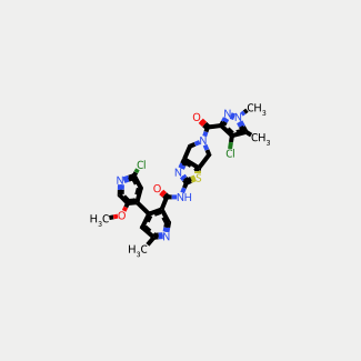 COc1cnc(Cl)cc1-c1cc(C)ncc1C(=O)Nc1nc2c(s1)CN(C(=O)c1nn(C)c(C)c1Cl)C2